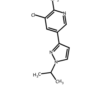 CC(C)n1ccc(-c2cnc(N)c(Cl)c2)n1